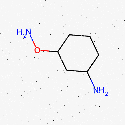 NOC1CCCC(N)C1